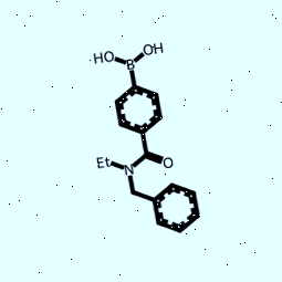 CCN(Cc1ccccc1)C(=O)c1ccc(B(O)O)cc1